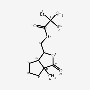 CCC(C)(C(=O)OCC1OC(=O)C2(C)CCCC12)C(C)C